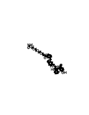 NC(=O)OCCOCCOCCOCCNC(=O)c1ccnc(Cn2ccc3ccc(CNCc4[nH]c5ccccc5c4C4NC(=O)c5ccc(O)cc54)cc32)c1